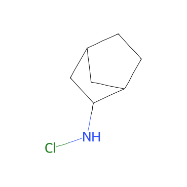 ClNC1CC2CCC1C2